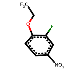 O=[N+]([O-])c1ccc(OCC(F)(F)F)c(F)c1